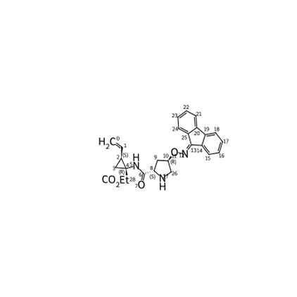 C=C[C@@H]1C[C@]1(NC(=O)[C@@H]1C[C@@H](ON=C2c3ccccc3-c3ccccc32)CN1)C(=O)OCC